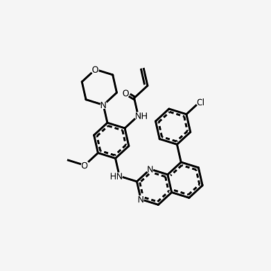 C=CC(=O)Nc1cc(Nc2ncc3cccc(-c4cccc(Cl)c4)c3n2)c(OC)cc1N1CCOCC1